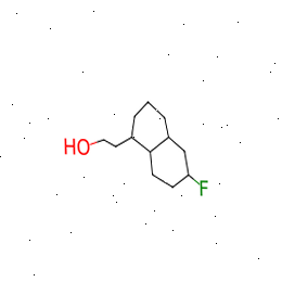 OCCC1CCCC2CC(F)CCC12